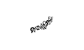 Cc1cccc(N2CCN(c3nc(C)n(Cc4ccc(C(F)(F)F)s4)c(=O)n3)CC2)n1